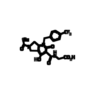 CC(C)(C)C(=O)N1Cc2c(O)c(C(=O)NCC(=O)O)c(=O)n(Cc3ccc(C(F)(F)F)cc3)c2C1